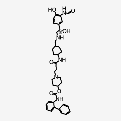 O=CNc1cc([C@H](O)CNCC2CCC(NC(=O)CCN3CCC(OC(=O)Nc4ccccc4-c4ccccc4)CC3)CC2)ccc1O